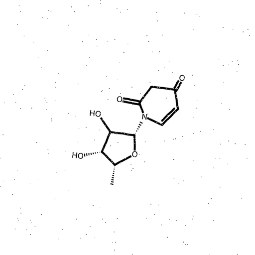 C[C@H]1O[C@@H](N2C=CC(=O)CC2=O)C(O)[C@H]1O